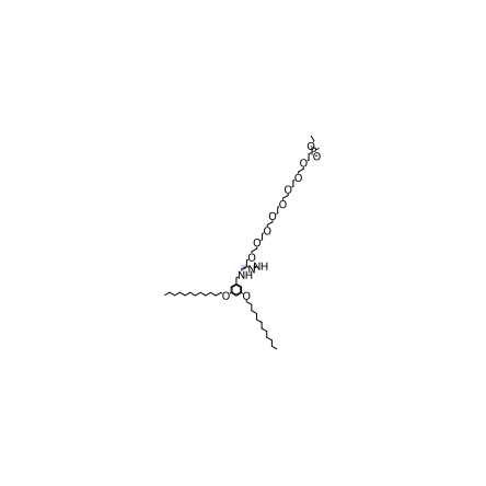 CCCCCCCCCCCCOc1cc(CN/C=C(/COCCOCCOCCOCCOCCOCCOCCOCCP(C)(=O)OCC)N=N)cc(OCCCCCCCCCCCC)c1